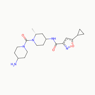 C[C@@H]1CC(NC(=O)c2cc(C3CC3)on2)CCN1C(=O)N1CCC(N)CC1